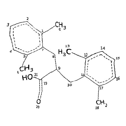 Cc1cccc(C)c1CC(Cc1c(C)cccc1C)C(=O)O